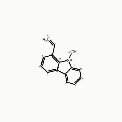 C=Cc1cccc2c3ccccc3n(C)c12